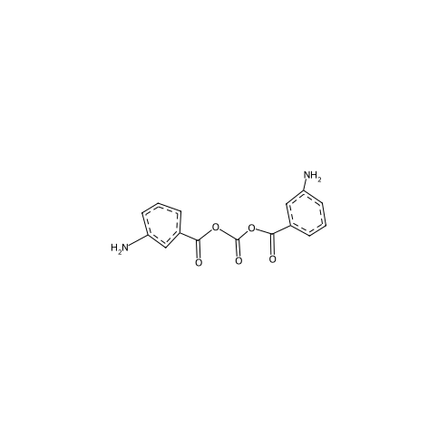 Nc1cccc(C(=O)OC(=O)OC(=O)c2cccc(N)c2)c1